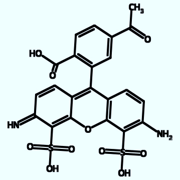 CC(=O)c1ccc(C(=O)O)c(-c2c3ccc(=N)c(S(=O)(=O)O)c-3oc3c(S(=O)(=O)O)c(N)ccc23)c1